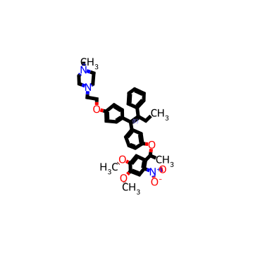 CC/C(=C(/c1ccc(OCCN2CCN(C)CC2)cc1)c1cccc(OC(C)c2cc(OC)c(OC)cc2[N+](=O)[O-])c1)c1ccccc1